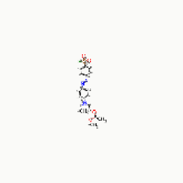 CCN(CCOC(C)OC)c1ccc(N=Nc2ccc(S(=O)(=O)F)cc2)cc1